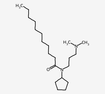 CCCCCCCCCCC(=O)N(CCCN(C)C)C1CCCC1